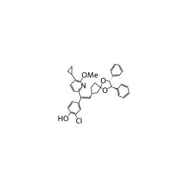 COc1nc(C(=C[C@H]2CCC3(C2)O[C@H](c2ccccc2)[C@@H](c2ccccc2)O3)c2ccc(O)c(Cl)c2)ccc1C1CC1